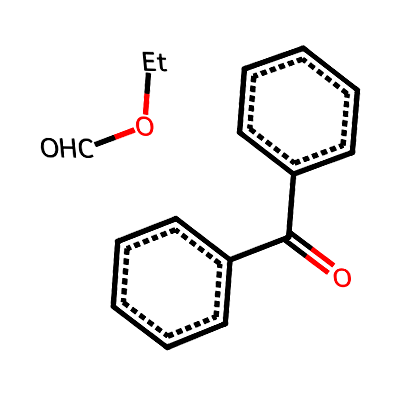 CCOC=O.O=C(c1ccccc1)c1ccccc1